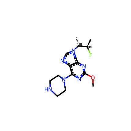 COc1nc(N2CCNCC2)c2ncn([C@H](C)[C@@H](C)F)c2n1